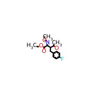 CCOC(=O)/C(=N\OC)C(Cc1ccc(F)cc1)C(C)=O